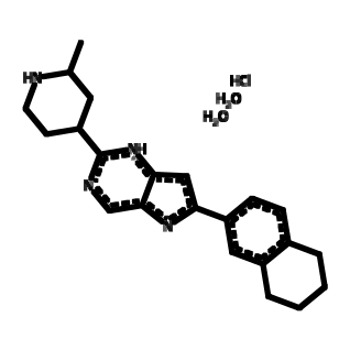 CC1CC(c2ncc3nc(-c4ccc5c(c4)CCCC5)cc-3[nH]2)CCN1.Cl.O.O